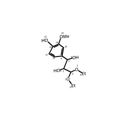 CCOC(OCC)C(O)C(O)c1ccc(O)c(OC)c1